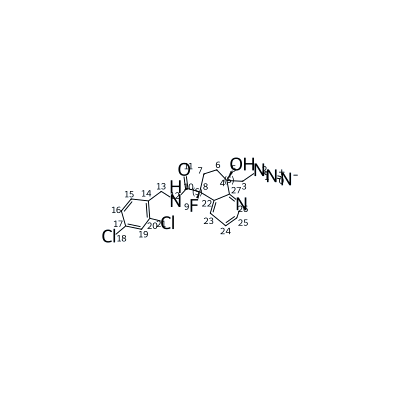 [N-]=[N+]=NC[C@@]1(O)CC[C@@](F)(C(=O)NCc2ccc(Cl)cc2Cl)c2cccnc21